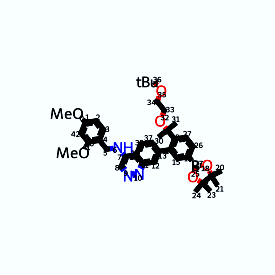 COc1ccc(CNc2cnnc3cc(-c4cc(B5OC(C)(C)C(C)(C)O5)ccc4C(C)(C)OCCOC(C)(C)C)ccc23)c(OC)c1